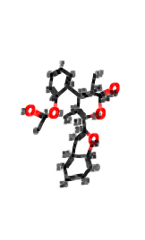 CC(=O)Oc1ccccc1-c1c(C)c(-c2cc3ccccc3o2)oc(=O)c1C